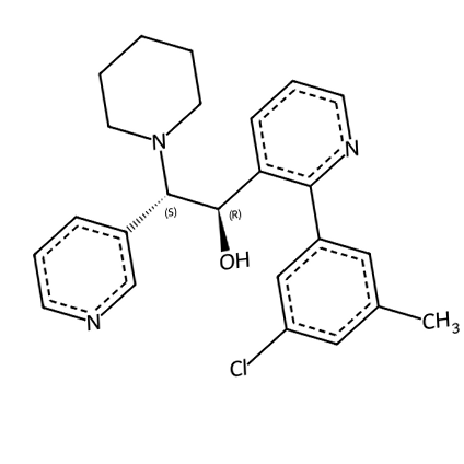 Cc1cc(Cl)cc(-c2ncccc2[C@@H](O)[C@H](c2cccnc2)N2CCCCC2)c1